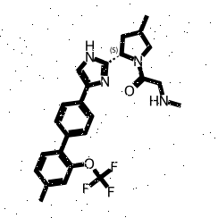 CNCC(=O)N1CC(C)C[C@H]1c1nc(-c2ccc(-c3ccc(C)cc3OC(F)(F)F)cc2)c[nH]1